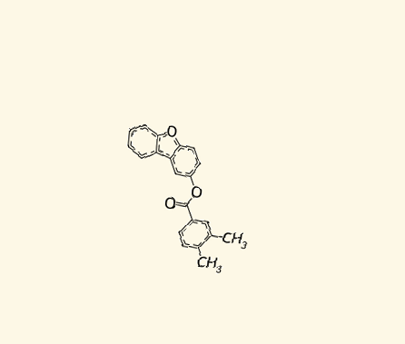 Cc1ccc(C(=O)Oc2ccc3oc4ccccc4c3c2)cc1C